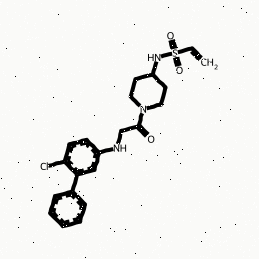 C=CS(=O)(=O)NC1CCN(C(=O)CNc2ccc(Cl)c(-c3ccccc3)c2)CC1